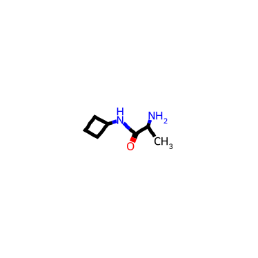 CC(N)C(=O)NC1CCC1